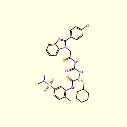 Cc1ccc(S(=O)(=O)N(C)C)cc1NC(=O)[C@@H](CC1CCCCC1)NC(=N)NC(=O)Cn1c(-c2ccc(Cl)cc2)nc2ccccc21